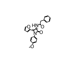 COc1ccc(N2C(=O)[C@H](NC(=O)Cc3ccccc3)[C@@H]2c2ccco2)cc1